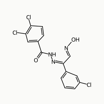 O=C(NN=C(C=NO)c1cccc(Cl)c1)c1ccc(Cl)c(Cl)c1